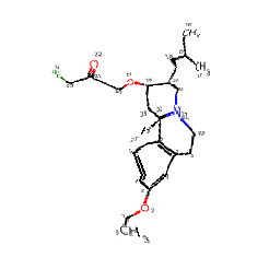 CCOc1ccc2c(c1)CCN1C[C@H](CC(C)C)[C@H](OCC(=O)C[18F])C[C@@H]21